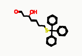 O=CC[C@H](O)/C=C/CCSC(c1ccccc1)(c1ccccc1)c1ccccc1